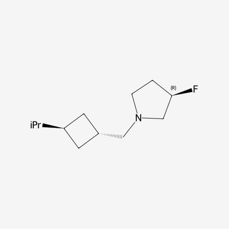 CC(C)[C@H]1C[C@H](CN2CC[C@@H](F)C2)C1